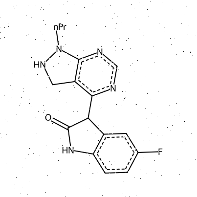 CCCN1NCc2c(C3C(=O)Nc4ccc(F)cc43)ncnc21